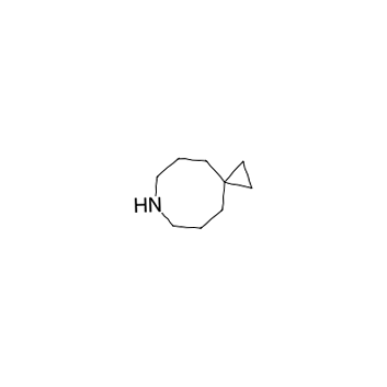 C1CNCCCC2(C1)CC2